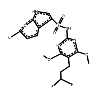 COc1nc(NS(=O)(=O)c2c[nH]c3cc(Cl)ccc23)nc(OC)c1CCC(F)F